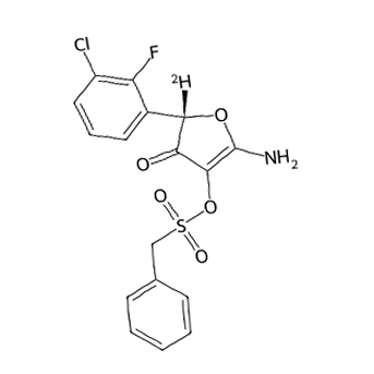 [2H][C@@]1(c2cccc(Cl)c2F)OC(N)=C(OS(=O)(=O)Cc2ccccc2)C1=O